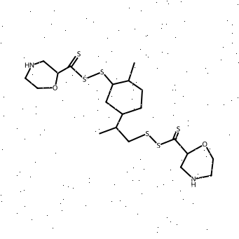 CC(CSSC(=S)C1CNCCO1)C1CCC(C)C(SSC(=S)C2CNCCO2)C1